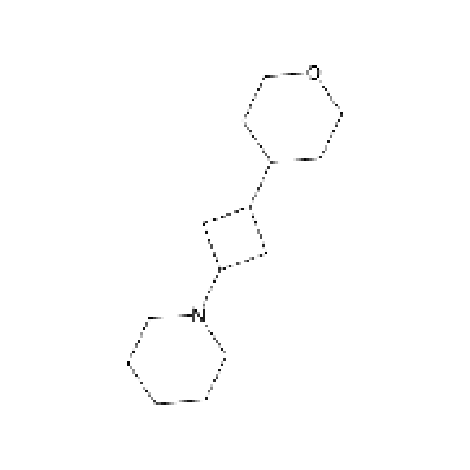 C1CCN(C2CC(C3CCOCC3)C2)CC1